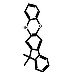 CC1(C)c2ccccc2-c2cc3c(cc21)Nc1ccccc1O3